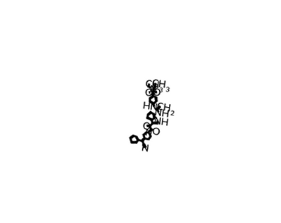 C=C(Nc1ccc(S(=O)(=O)N(CC)CC)cc1)Nc1cccc2c(C(=O)C(=O)N3CCC(=C(C#N)c4ccccc4)CC3)c[nH]c12